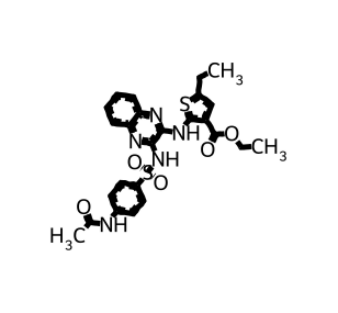 CCOC(=O)c1cc(CC)sc1Nc1nc2ccccc2nc1NS(=O)(=O)c1ccc(NC(C)=O)cc1